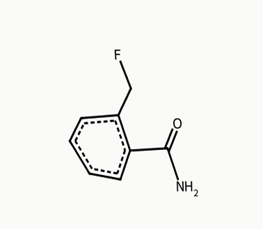 NC(=O)c1ccccc1CF